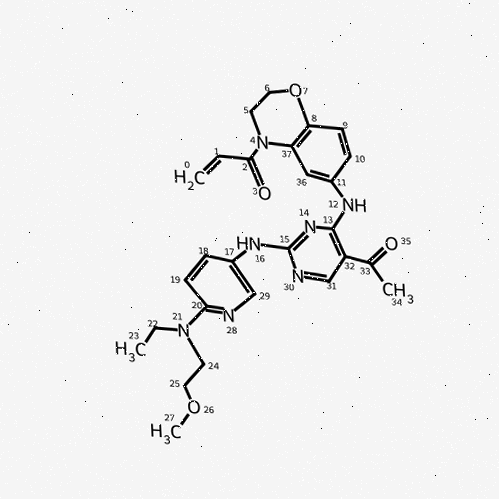 C=CC(=O)N1CCOc2ccc(Nc3nc(Nc4ccc(N(CC)CCOC)nc4)ncc3C(C)=O)cc21